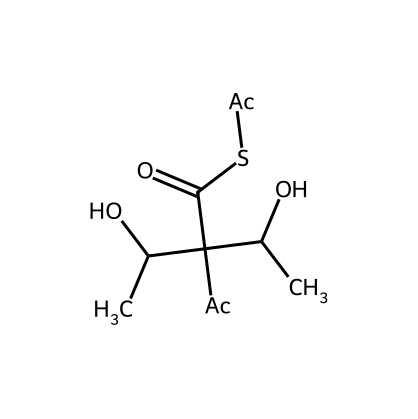 CC(=O)SC(=O)C(C(C)=O)(C(C)O)C(C)O